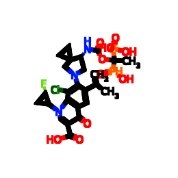 C=C(C)c1cc2c(=O)c(C(=O)O)cn(C3C[C@@H]3F)c2c(Cl)c1N1C[C@@H](NC(=O)OC(C)([PH](=O)O)P(=O)(O)O)C2(CC2)C1